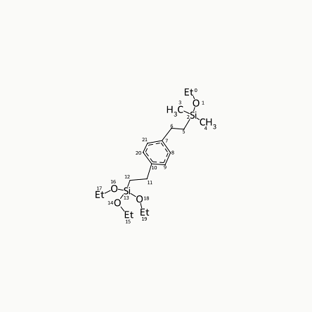 CCO[Si](C)(C)CCc1ccc(CC[Si](OCC)(OCC)OCC)cc1